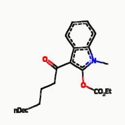 CCCCCCCCCCCCCC(=O)c1c(OC(=O)OCC)n(C)c2ccccc12